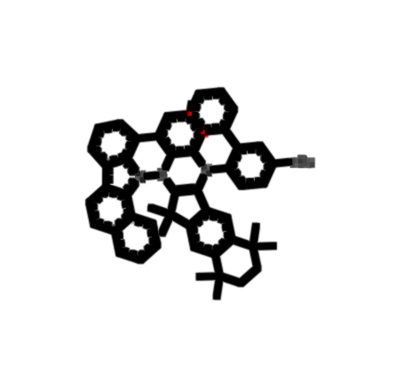 CCCCc1ccc(N2C3=C(B4c5c(cc(C)cc52)-c2cccc5c6ccc7ccccc7c6n4c25)C(C)(C)c2cc4c(cc23)C(C)(C)CCC4(C)C)c(-c2ccccc2)c1